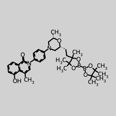 Cc1cn(-c2ccc(N3C[C@@H](CCC4(C)OB(B5OC(C)(C)C(C)(C)O5)OC4(C)C)O[C@@H](C)C3)cc2)c(=O)c2cccc(O)c12